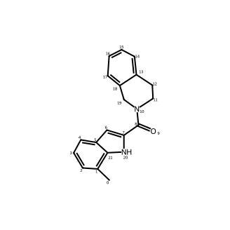 Cc1cccc2cc(C(=O)N3CCc4ccccc4C3)[nH]c12